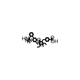 CCc1nc(CC)n(Cc2ccc(-c3ccccc3-c3nnn[nH]3)cc2)c(=O)c1Cc1ccc(C(=O)O)cc1